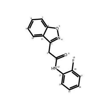 O=C(Cc1noc2ccccc12)Nc1ccccc1F